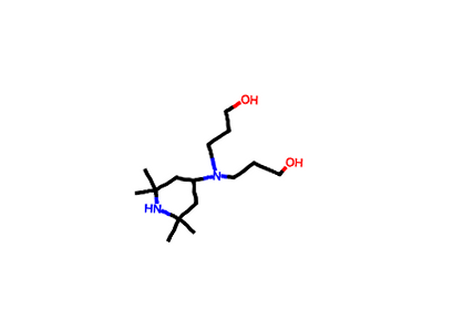 CC1(C)CC(N(CCCO)CCCO)CC(C)(C)N1